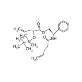 C=CCCC(=O)N[C@@H](COC(=O)C(CC=C)O[Si](C)(C)C(C)(C)C)c1ccccc1